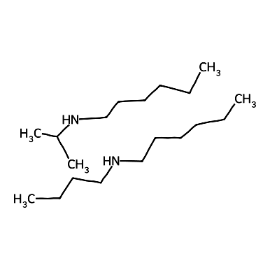 CCCCCCNC(C)C.CCCCCCNCCCC